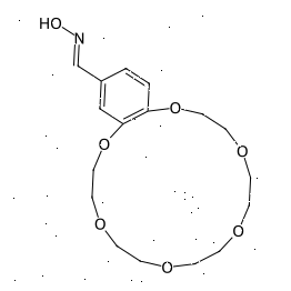 ON=Cc1ccc2c(c1)OCCOCCOCCOCCOCCO2